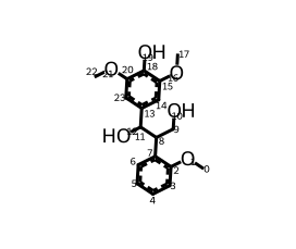 COc1ccccc1C(CO)C(O)c1cc(OC)c(O)c(OC)c1